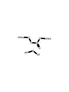 CCCCCCO[O][Al-](=[O])[O]CCCCCC.CCCSS